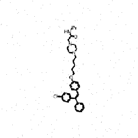 CC(C)NC(=O)CN1CCN(CCCCCOc2ccc(C=C(c3ccccc3)c3ccc(Cl)cc3)cc2)CC1